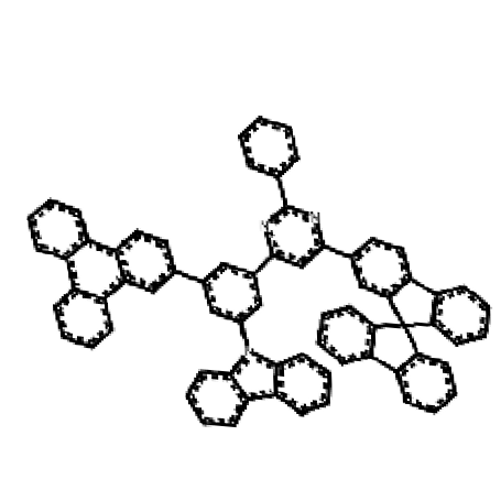 c1ccc(-c2nc(-c3cc(-c4ccc5c6ccccc6c6ccccc6c5c4)cc(-n4c5ccccc5c5ccccc54)c3)cc(-c3ccc4c(c3)C3(c5ccccc5-c5ccccc53)c3ccccc3-4)n2)cc1